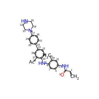 C=CC(=O)Nc1ccc(Nc2ccc(-c3ccc(N4CCNCC4)cc3)cc2C(C)=O)c(C)c1